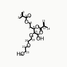 C=C(C)C(=O)OCCC(OC(=O)C(=C)C)C(CO)OCCOCCO